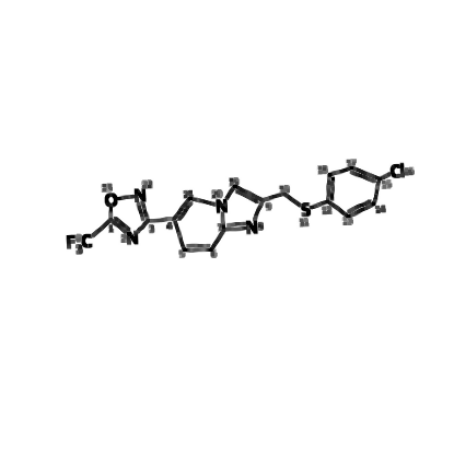 FC(F)(F)c1nc(-c2ccc3nc(CSc4ccc(Cl)cc4)cn3c2)no1